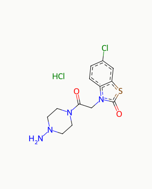 Cl.NN1CCN(C(=O)Cn2c(=O)sc3cc(Cl)ccc32)CC1